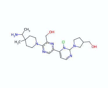 CC(N)C1(C)CCN(c2ncc(C3=CC=NC(N4CCC(CO)C4)N3Cl)nc2CO)CC1